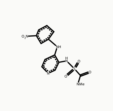 CNC(=O)S(=O)(=O)Nc1cnccc1Nc1cccc([N+](=O)[O-])c1